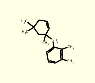 Cc1cccc([SiH2]C2(C)C=CCC(C)(C)C2)c1C